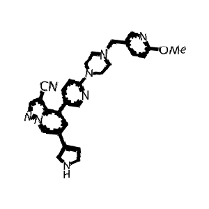 COc1ccc(CN2CCN(c3ccc(-c4cc(C5=CCNC5)cn5ncc(C#N)c45)cn3)CC2)cn1